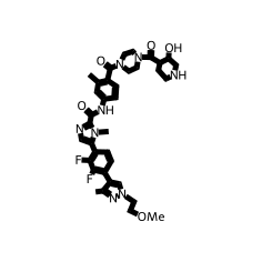 COCCn1cc(-c2ccc(-c3cnc(C(=O)Nc4ccc(C(=O)N5CCN(C(=O)C6CCNCC6O)CC5)c(C)c4)n3C)c(F)c2F)c(C)n1